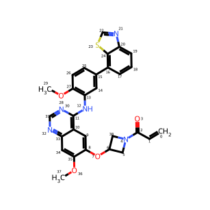 C=CC(=O)N1CC(Oc2cc3c(Nc4cc(-c5cccc6ncsc56)ccc4OC)ncnc3cc2OC)C1